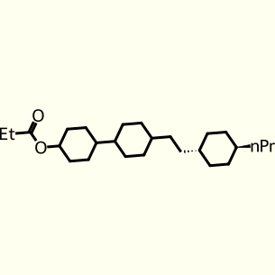 CCC[C@H]1CC[C@H](CCC2CCC(C3CCC(OC(=O)CC)CC3)CC2)CC1